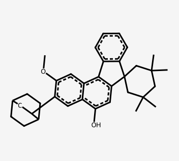 COc1cc2c3c(cc(O)c2cc1C1CC2CCC1CC2)C1(CC(C)(C)CC(C)(C)C1)c1ccccc1-3